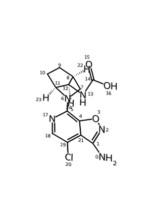 Nc1noc2c(N3C[C@@H]4CC[C@H]3[C@@H]4NC(=O)O)ncc(Cl)c12